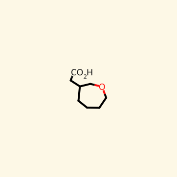 O=C(O)CC1CCCCOC1